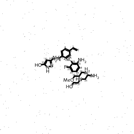 C=Cc1ccc(N)cc1.COCCCN.N#Cc1c(N)cccc1F.NCCNCCO.Nc1cc(O)[nH]n1